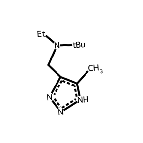 CCN(Cc1nn[nH]c1C)C(C)(C)C